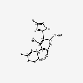 CCCCCc1cc(OC(C)C)c([C@@H]2C=C(C)CCC2)c(O)c1-c1cc(C)cs1